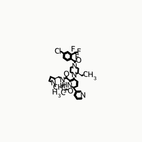 CCOC1(c2cccnc2)C=CC(N2CCN(C(=O)c3ccc(Cl)cc3C(F)(F)F)C[C@H]2CC)=C(C(=O)NC[C@@H]2CCN2C)N1